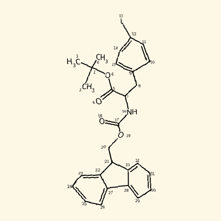 CC(C)(C)OC(=O)C(Cc1ccc(I)cc1)NC(=O)OCC1c2ccccc2-c2ccccc21